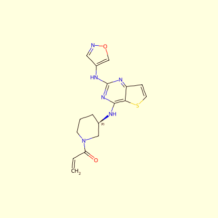 C=CC(=O)N1CCC[C@@H](Nc2nc(Nc3cnoc3)nc3ccsc23)C1